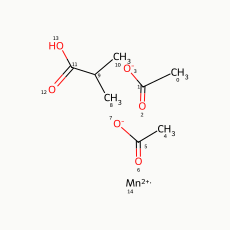 CC(=O)[O-].CC(=O)[O-].CC(C)C(=O)O.[Mn+2]